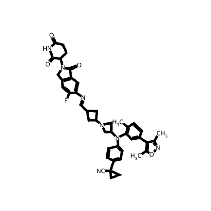 Cc1ccc(-c2c(C)noc2C)cc1N(c1ccc(C2(C#N)CC2)cc1)C1CN(C2CC(/C=N/c3cc4c(cc3F)CN(C3CCC(=O)NC3=O)C4=O)C2)C1